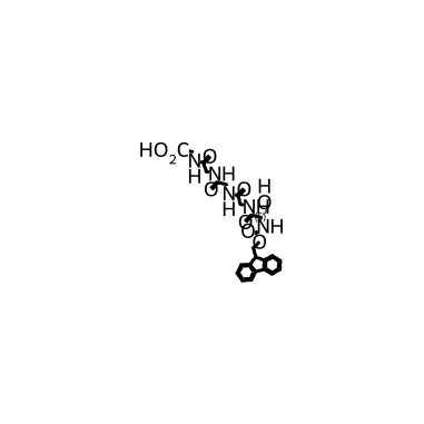 O=C(O)CNC(=O)CNC(=O)CNC(=O)CNC(=O)[C@H](CO)NC(=O)OCC1c2ccccc2-c2ccccc21